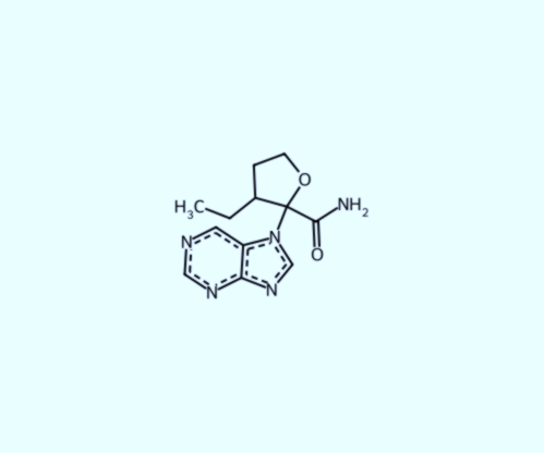 CCC1CCOC1(C(N)=O)n1cnc2ncncc21